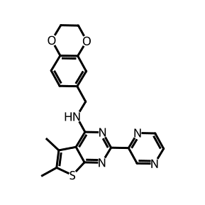 Cc1sc2nc(-c3cnccn3)nc(NCc3ccc4c(c3)OCCO4)c2c1C